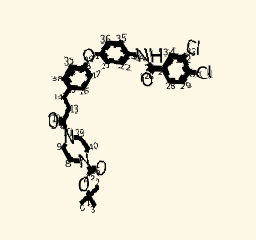 CC(C)(C)OC(=O)N1CCN(C(=O)CCc2ccc(Oc3ccc(NC(=O)c4ccc(Cl)c(Cl)c4)cc3)cc2)CC1